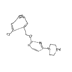 Clc1ccccc1COc1nccc(N2CCNCC2)n1